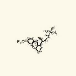 CC(C)(O)[C@H]1C[C@@H](Nc2nnc(-c3ccc(C(F)(F)F)cc3O)c3ccncc23)C1